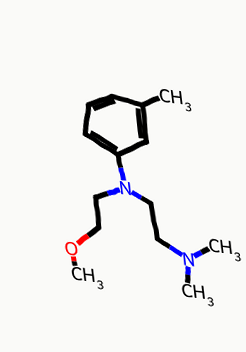 COCCN(CCN(C)C)c1cccc(C)c1